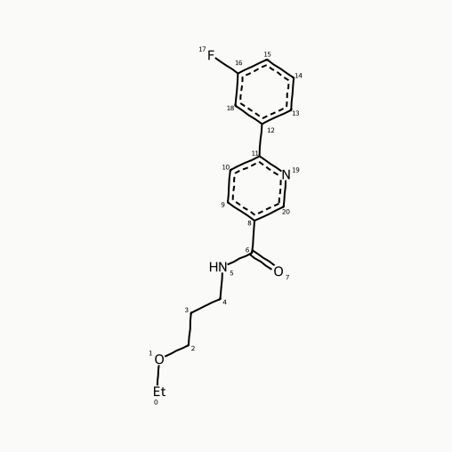 CCOCCCNC(=O)c1ccc(-c2cccc(F)c2)nc1